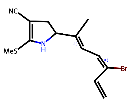 C=C/C(Br)=C\C=C(/C)C1CC(C#N)=C(SC)N1